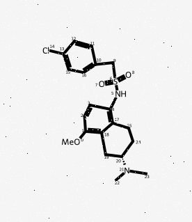 COc1ccc(NS(=O)(=O)Cc2ccc(Cl)cc2)c2c1C[C@@H](N(C)C)CC2